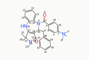 CN(C)c1ccc(C(=O)N2c3ccccc3NC3=C(C(=O)N(C)C3(C)C)C2Cc2ccccc2)cc1